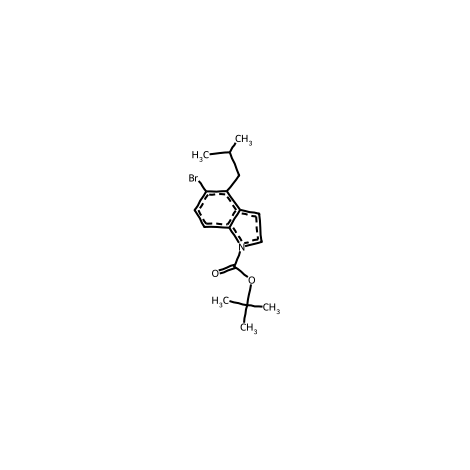 CC(C)Cc1c(Br)ccc2c1ccn2C(=O)OC(C)(C)C